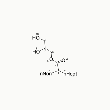 CCCCCCCCCC(CCCCCCC)C(=O)OCC(O)CO